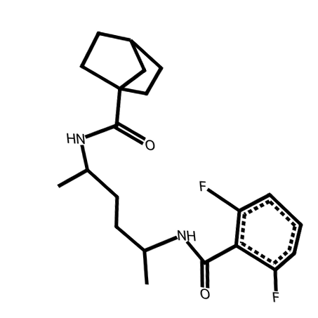 CC(CCC(C)NC(=O)C12CCC(CC1)C2)NC(=O)c1c(F)cccc1F